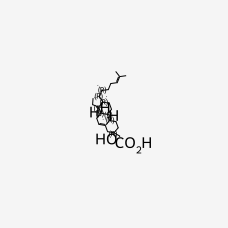 CC(C)=CCC[C@@H](C)[C@H]1CC[C@H]2[C@@H]3CC=C4C[C@@](O)(CC(=O)O)CC[C@]4(C)[C@H]3CC[C@]12C